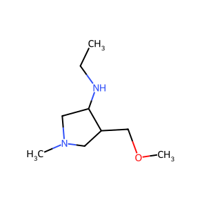 CCNC1CN(C)CC1COC